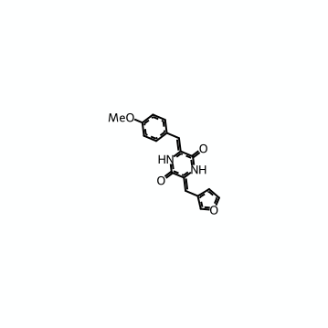 COc1ccc(C=c2[nH]c(=O)c(=Cc3ccoc3)[nH]c2=O)cc1